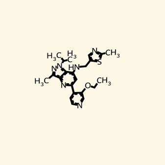 CCOc1cnccc1-c1cc(NCc2cnc(C)s2)c2c(n1)c(C)nn2C(C)C